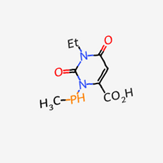 CCn1c(=O)cc(C(=O)O)n(PC)c1=O